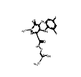 Cc1c(Nc2ccc(I)cc2F)c(C(=O)NOC[C@H](C)O)nn(C)c1=O